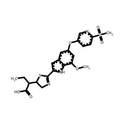 CCC(C(=O)O)C1CN=C(c2cc3cc(Oc4ccc(S(C)(=O)=O)nc4)cc(OC)c3[nH]2)S1